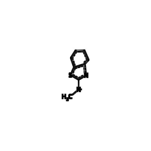 C[N]c1nc2ccccc2s1